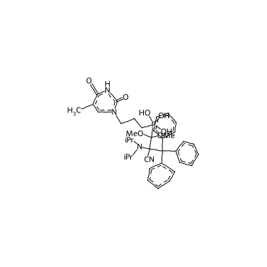 COC(OC)(C(C#N)(N(C(C)C)C(C)C)C(c1ccccc1)(c1ccccc1)c1ccccc1)P(O)(O)(O)CCCn1cc(C)c(=O)[nH]c1=O